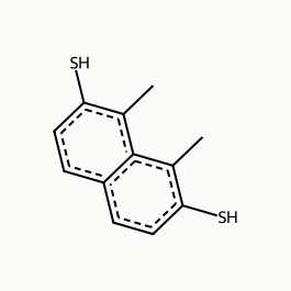 Cc1c(S)ccc2ccc(S)c(C)c12